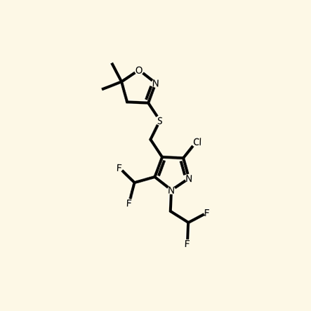 CC1(C)CC(SCc2c(Cl)nn(CC(F)F)c2C(F)F)=NO1